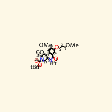 COCCCOc1cc(C(=O)N(C(C)C)[C@@H]2CC[C@@H](CC(=O)O)N(C(=O)OC(C)(C)C)C2)ccc1OC